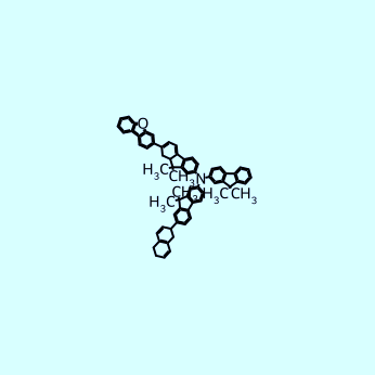 CC1(C)c2ccccc2-c2ccc(N(c3ccc4c(c3)C(C)(C)c3cc(C5C=CC6=C(C=CCC6)C5)ccc3-4)c3ccc4c(c3)C(C)(C)C3CC(c5ccc6c(c5)oc5ccccc56)=CC=C43)cc21